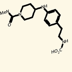 CNC(=O)N1CCC(Nc2ccc(CCNC(=O)O)cc2)CC1